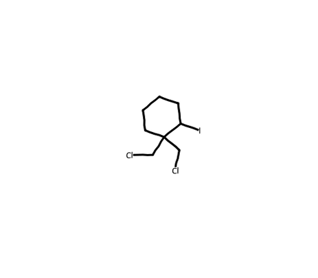 ClCC1(CCl)CCCCC1I